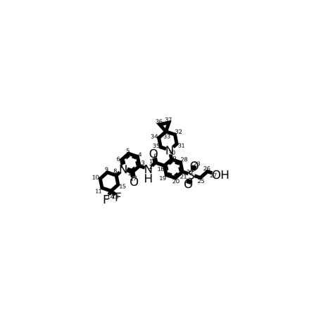 O=C(Nc1cccn(C2CCCC(F)(F)C2)c1=O)c1ccc(S(=O)(=O)CCO)cc1N1CCC2(CC1)CC2